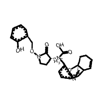 CN1CC[C@@]23C=CCC[C@@H]2Oc2c(N(C(=O)O)[C@@H]4CCN(OCc5ccccc5O)C4=O)ccc(c23)C1